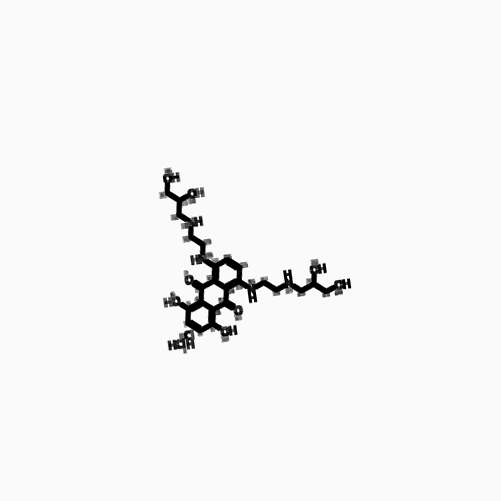 Cl.Cl.O=C1c2c(O)ccc(O)c2C(=O)c2c(NCCNCC(O)CO)ccc(NCCNCC(O)CO)c21